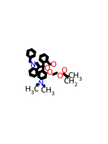 C=C(C)C(=O)OCCOc1cc(N(CC)CC)ccc1C1(c2cn(Cc3ccccc3)c3ccccc23)OC(=O)c2ccccc21